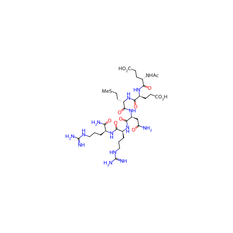 CSCC[C@H](NC(=O)[C@H](CCC(=O)O)NC(=O)[C@H](CCC(=O)O)NC(C)=O)C(=O)N[C@@H](CC(N)=O)C(=O)N[C@@H](CCCNC(=N)N)C(=O)N[C@@H](CCCNC(=N)N)C(N)=O